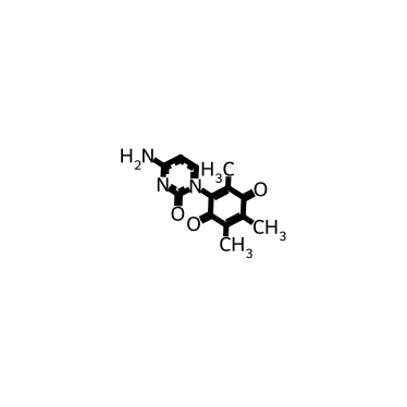 CC1=C(C)C(=O)C(n2ccc(N)nc2=O)=C(C)C1=O